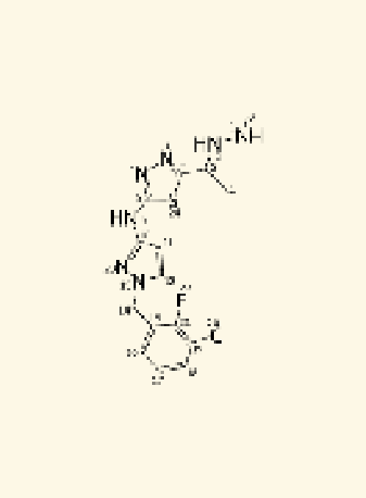 CNNC(C)c1nnc(Nc2ccn(Cc3cccc(Cl)c3F)n2)s1